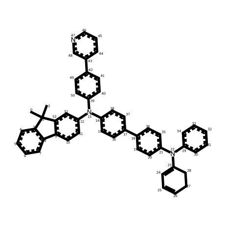 CC1(C)c2ccccc2-c2ccc(N(c3ccc(-c4ccc(N(C5=CC=CCC5)c5ccccc5)cc4)cc3)c3ccc(-c4cccnc4)cc3)cc21